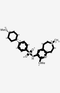 COc1nc2c(cc1NS(=O)(=O)c1ccc([C@H]3CC[C@@H](OC)CC3)cc1)CCN(C)CC2